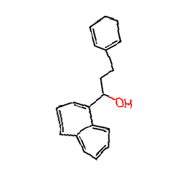 OC(CCC1=CCCC=C1)c1cccc2ccccc12